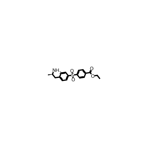 CCOC(=O)c1ccc(S(=O)(=O)c2ccc(C[C@@H](C)N)cc2)cc1